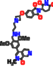 COc1cc(-c2cn(C)c(=O)c3cnccc23)cc(OC)c1CNCCCN1CC(Oc2ccc3c(c2)C(=O)N(C2CCC(=O)NC2=O)C3=O)C1